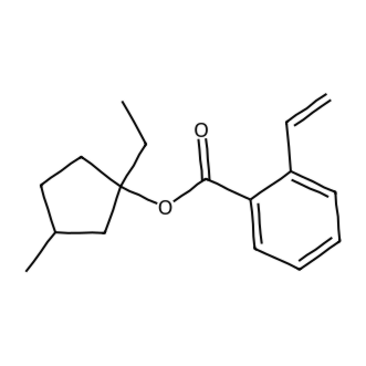 C=Cc1ccccc1C(=O)OC1(CC)CCC(C)C1